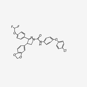 O=C(Nc1ccc(Oc2ccc(Cl)cc2)cc1)N1CC(c2ccc3c(c2)OCO3)C(c2ccc(OC(F)F)cc2)=N1